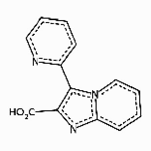 O=C(O)c1nc2ccccn2c1-c1ccccn1